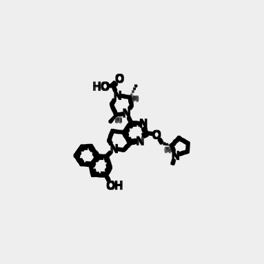 C[C@@H]1CN(c2nc(OC[C@@H]3CCCN3C)nc3c2CCN(c2cc(O)cc4ccccc24)C3)[C@@H](C)CN1C(=O)O